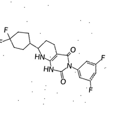 O=c1[nH]c2c(c(=O)n1-c1cc(F)cc(F)c1)CCC(C1CCC(F)(F)CC1)N2